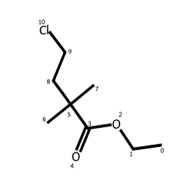 CCOC(=O)C(C)(C)CCCl